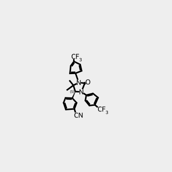 CC1(C)[C@H](c2cccc(C#N)c2)N(c2ccc(C(F)(F)F)cc2)C(=O)N1c1ccc(C(F)(F)F)cc1